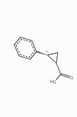 O=C(O)C1C[C@@H]1c1ccccc1